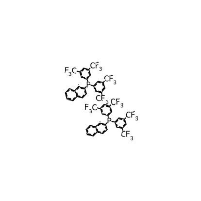 FC(F)(F)c1cc(P(c2[c]c3ccccc3cc2)c2cc(C(F)(F)F)cc(C(F)(F)F)c2)cc(C(F)(F)F)c1.FC(F)(F)c1cc(P(c2[c]c3ccccc3cc2)c2cc(C(F)(F)F)cc(C(F)(F)F)c2)cc(C(F)(F)F)c1